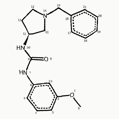 COc1cccc(NC(=O)N[C@H]2CCN(Cc3ccccc3)C2)c1